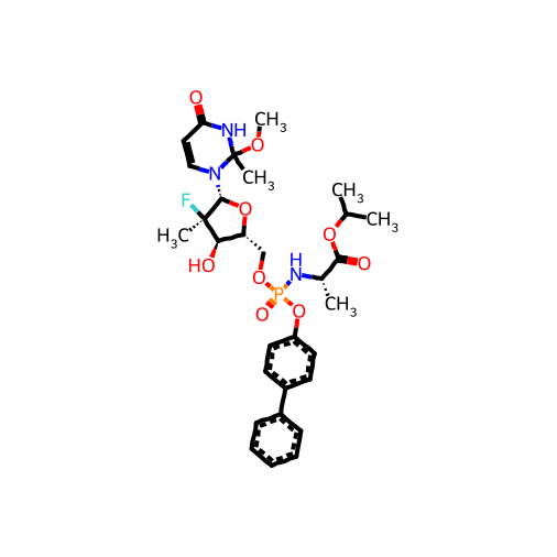 COC1(C)NC(=O)C=CN1[C@@H]1O[C@H](COP(=O)(N[C@@H](C)C(=O)OC(C)C)Oc2ccc(-c3ccccc3)cc2)[C@@H](O)[C@@]1(C)F